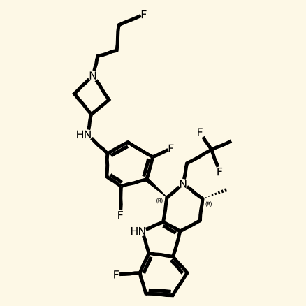 C[C@@H]1Cc2c([nH]c3c(F)cccc23)[C@@H](c2c(F)cc(NC3CN(CCCF)C3)cc2F)N1CC(C)(F)F